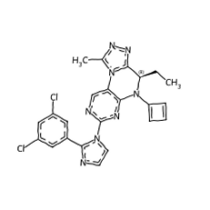 CC[C@@H]1c2nnc(C)n2-c2cnc(-n3ccnc3-c3cc(Cl)cc(Cl)c3)nc2N1C1=CC=C1